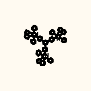 c1ccc(-c2nc(-c3ccc(-c4cc(-c5ccc(-c6nc(-c7ccccc7)c7c(c6-c6ccccc6)-c6cccc8cccc-7c68)cc5)cc(-c5ccc(-c6nc(-c7ccccc7)c7c(c6-c6ccccc6)-c6cccc8cccc-7c68)cc5)c4)cc3)c(-c3ccccc3)c3c2-c2cccc4cccc-3c24)cc1